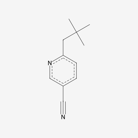 CC(C)(C)Cc1ccc(C#N)cn1